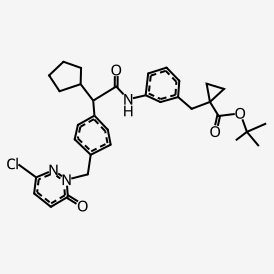 CC(C)(C)OC(=O)C1(Cc2cccc(NC(=O)C(c3ccc(Cn4nc(Cl)ccc4=O)cc3)C3CCCC3)c2)CC1